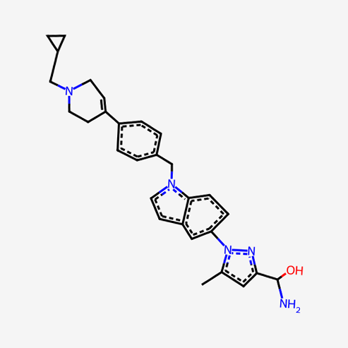 Cc1cc(C(N)O)nn1-c1ccc2c(ccn2Cc2ccc(C3=CCN(CC4CC4)CC3)cc2)c1